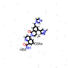 CCCCNC(=O)c1cc(OC)cc2c(N3CCc4c(cc(Cn5ccnc5)cc4-c4cn(C)nc4C(F)(F)F)C3=O)ccnc12